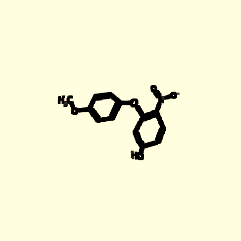 COc1ccc(Oc2cc(O)ccc2[N+](=O)[O-])cc1